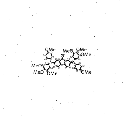 COc1ccc(N(c2cc(OC)c(OC)c(OC)c2)c2ccc3c(c2)C(=O)c2cc(N(c4ccc(OC)cc4)c4cc(OC)c(OC)c(OC)c4)ccc2-3)cc1